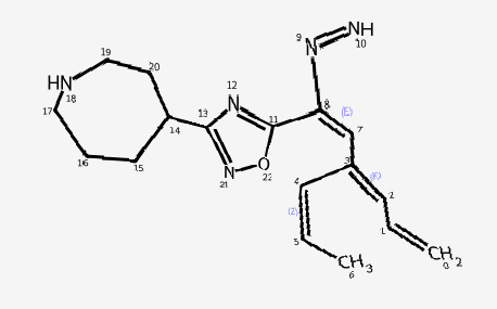 C=C/C=C(\C=C/C)/C=C(/N=N)c1nc(C2CCCNCC2)no1